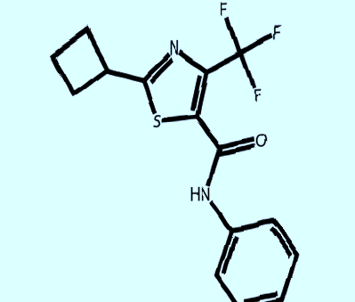 O=C(Nc1ccccc1)c1sc(C2CCC2)nc1C(F)(F)F